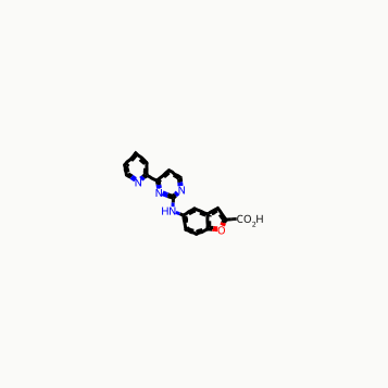 O=C(O)c1cc2cc(Nc3nccc(-c4ccccn4)n3)ccc2o1